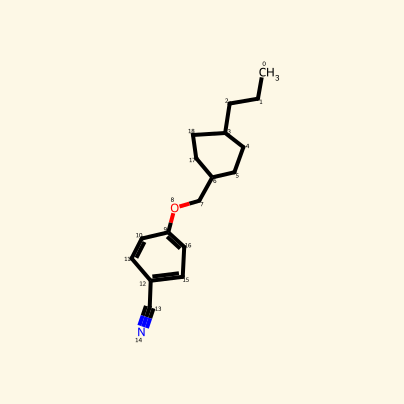 CCCC1CCC(COc2ccc(C#N)cc2)CC1